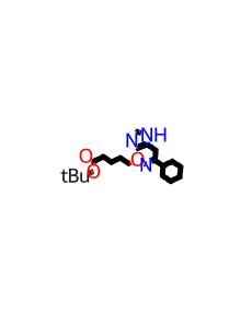 CC(C)(C)OC(=O)CCCCON=C(Cc1cnc[nH]1)C1CCCCC1